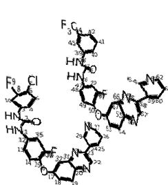 O=C(Nc1ccc(Cl)c(F)c1)Nc1ccc(Oc2ccc3ncc(-c4cccnc4)nc3c2)c(F)c1.O=C(Nc1cccc(C(F)(F)F)c1)Nc1ccc(Oc2ccc3ncc(-c4cccnc4)nc3c2)c(F)c1